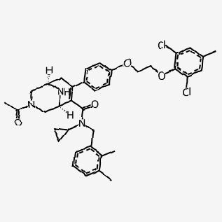 CC(=O)N1C[C@H]2CC(c3ccc(OCCOc4c(Cl)cc(C)cc4Cl)cc3)=C(C(=O)N(Cc3cccc(C)c3C)C3CC3)[C@@H](C1)N2